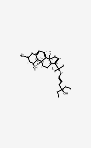 CCC(O)(CC)CC=COC(C)(C)C1=CC[C@H]2C3=CC=C4CC(O)CC(O)[C@]4(C)[C@H]3CC[C@]12C